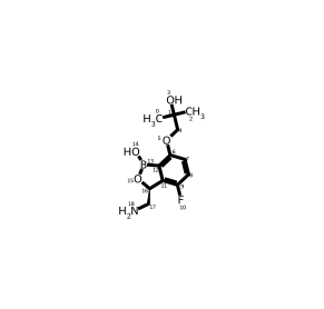 CC(C)(O)COc1ccc(F)c2c1B(O)O[C@@H]2CN